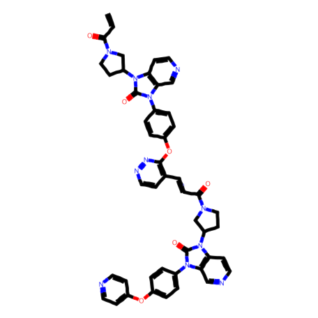 C=CC(=O)N1CCC(n2c(=O)n(-c3ccc(Oc4nnccc4/C=C/C(=O)N4CCC(n5c(=O)n(-c6ccc(Oc7ccncc7)cc6)c6cnccc65)C4)cc3)c3cnccc32)C1